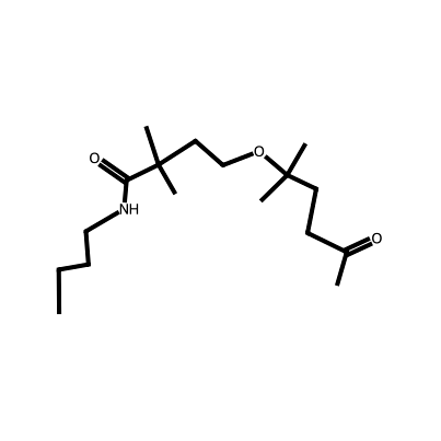 CCCCNC(=O)C(C)(C)CCOC(C)(C)CCC(C)=O